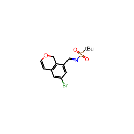 CC(C)(C)S(=O)(=O)/N=C/c1cc(Br)cc2c1COC=C2